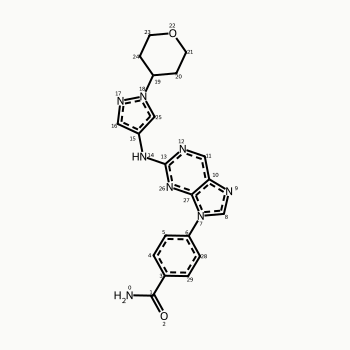 NC(=O)c1ccc(-n2cnc3cnc(Nc4cnn(C5CCOCC5)c4)nc32)cc1